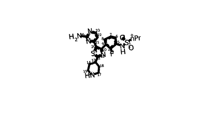 CCCS(=O)(=O)Nc1cccc(-c2nc(C3CCNCC3)sc2-c2ccnc(N)n2)c1F